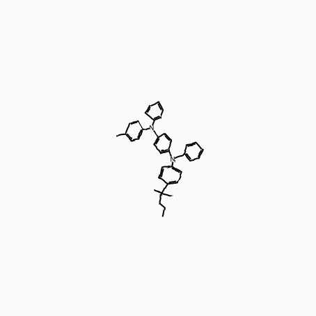 CCCC(C)(C)c1ccc(N(c2ccccc2)c2ccc(N(c3ccccc3)c3ccc(C)cc3)cc2)cc1